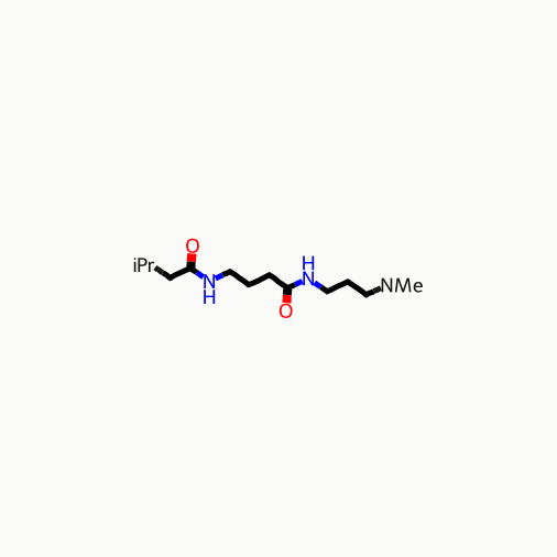 CNCCCNC(=O)CCCNC(=O)CC(C)C